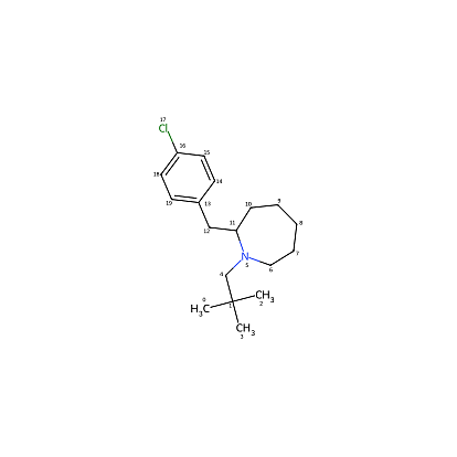 CC(C)(C)CN1CCCCCC1Cc1ccc(Cl)cc1